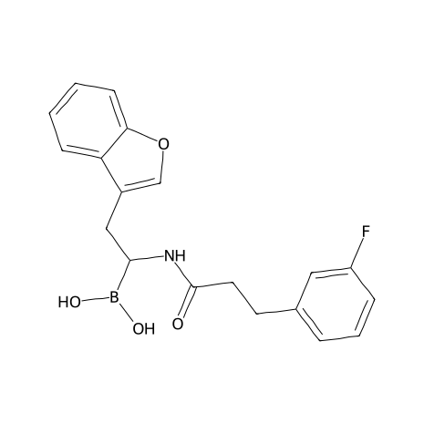 O=C(CCc1cccc(F)c1)NC(Cc1coc2ccccc12)B(O)O